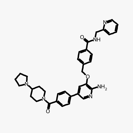 Nc1ncc(-c2ccc(C(=O)N3CCC(N4CCCC4)CC3)cc2)cc1OCc1ccc(C(=O)NCc2ccccn2)cc1